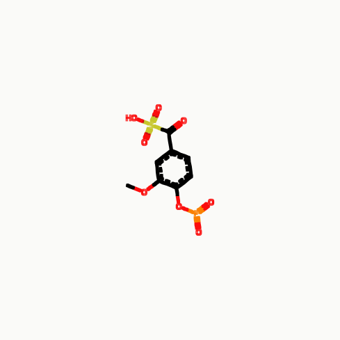 COc1cc(C(=O)S(=O)(=O)O)ccc1OP(=O)=O